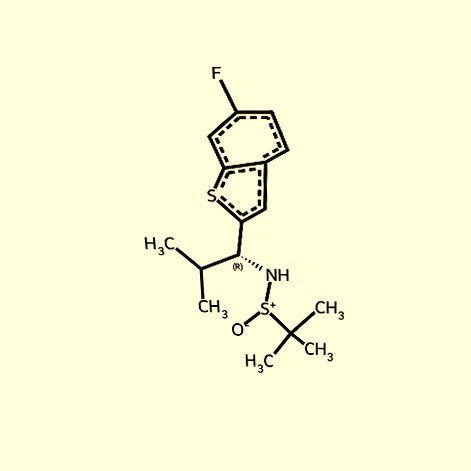 CC(C)[C@@H](N[S+]([O-])C(C)(C)C)c1cc2ccc(F)cc2s1